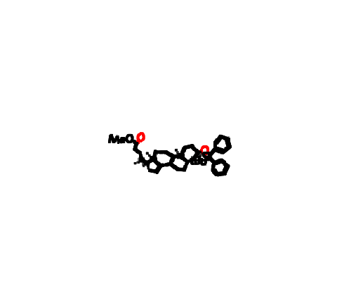 COC(=O)CC[C@@H](C)[C@H]1CCC2C3CCC4C[C@H](O[Si](c5ccccc5)(c5ccccc5)C(C)(C)C)CC[C@]4(C)C3CC[C@@]21C